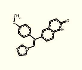 COc1ccc(C(=Cn2ccnc2)c2ccc3[nH]c(=O)ccc3c2)cc1